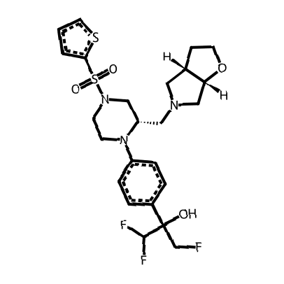 O=S(=O)(c1cccs1)N1CCN(c2ccc(C(O)(CF)C(F)F)cc2)[C@@H](CN2C[C@@H]3CCO[C@@H]3C2)C1